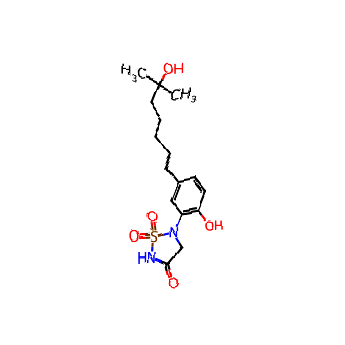 CC(C)(O)CCCCCc1ccc(O)c(N2CC(=O)NS2(=O)=O)c1